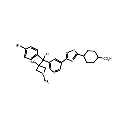 CC(C)c1ccc(C(O)(c2cncc(-c3noc(C4CCC(C(=O)O)CC4)n3)c2)C2(C)CN(C)C2)cc1